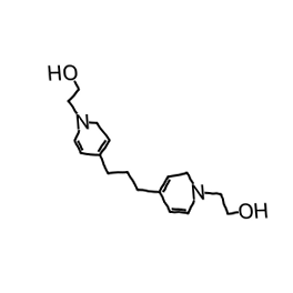 OCCN1C=CC(CCCC2=CCN(CCO)C=C2)=CC1